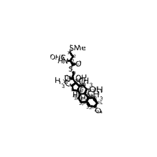 CSCCC(NC=O)C(=O)SCC(=O)[C@@]1(O)[C@H](C)C[C@H]2[C@@H]3CCC4=CC(=O)C=C[C@]4(C)C3(F)[C@@H](O)C[C@@]21C